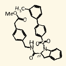 COC(=O)Cc1ccc(CNC(=O)[C@@H]2Cc3ccccc3N2S(=O)(=O)c2ccc(-c3cccc(C)c3)cc2)cc1